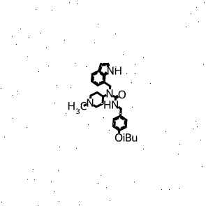 CC(C)COc1ccc(CNC(=O)N(Cc2cccc3cc[nH]c23)C2CCN(C)CC2)cc1